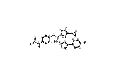 O=[SH](=O)Nc1ccc(C[C@H](Nc2nc(-c3ccc(F)cc3)cs2)c2csc(C3CC3)n2)cc1